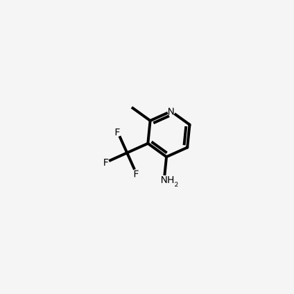 Cc1nccc(N)c1C(F)(F)F